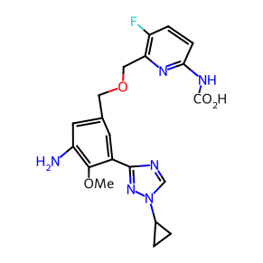 COc1c(N)cc(COCc2nc(NC(=O)O)ccc2F)cc1-c1ncn(C2CC2)n1